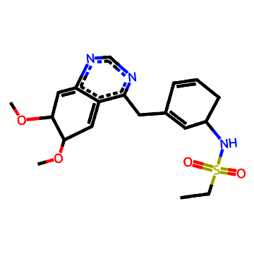 CCS(=O)(=O)NC1C=C(Cc2ncnc3c2=CC(OC)C(OC)C=3)C=CC1